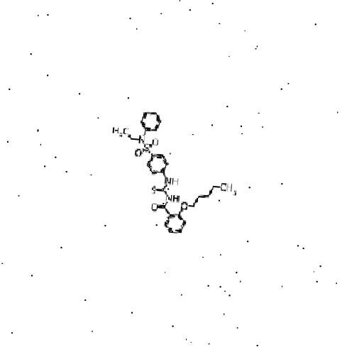 CCCCCOc1ccccc1C(=O)NC(=S)Nc1ccc(S(=O)(=O)N(CC)c2ccccc2)cc1